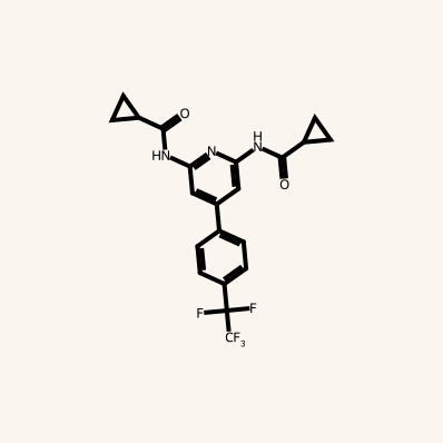 O=C(Nc1cc(-c2ccc(C(F)(F)C(F)(F)F)cc2)cc(NC(=O)C2CC2)n1)C1CC1